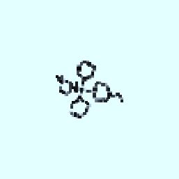 CCc1ccc(C(c2ccccc2)(c2ccccc2)n2ccnc2)cc1